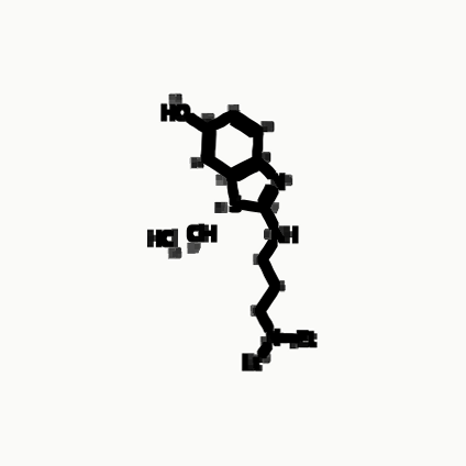 CCN(CC)CCCNc1nc2ccc(O)cc2s1.Cl.Cl